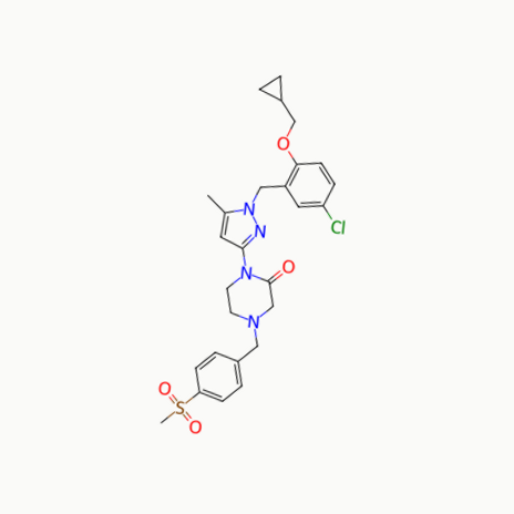 Cc1cc(N2CCN(Cc3ccc(S(C)(=O)=O)cc3)CC2=O)nn1Cc1cc(Cl)ccc1OCC1CC1